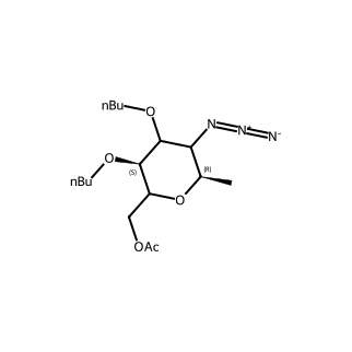 CCCCOC1C(N=[N+]=[N-])[C@@H](C)OC(COC(C)=O)[C@H]1OCCCC